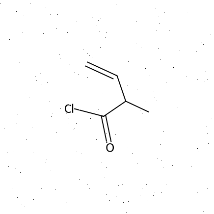 C=CC(C)C(=O)Cl